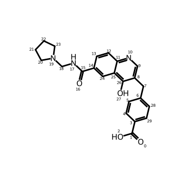 O=C(O)c1ccc(Cc2cnc3ccc(C(=O)NCN4CCCC4)cc3c2O)cc1